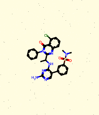 CC(Nc1nc(N)ncc1-c1cccc(S(=O)(=O)N(C)C)c1)c1nc2cccc(Cl)c2c(=O)n1-c1ccccc1